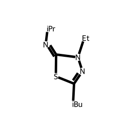 CCC(C)c1nn(CC)/c(=N\C(C)C)s1